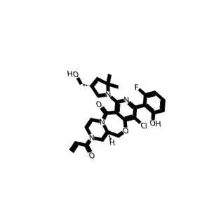 C=CC(=O)N1CCN2C(=O)c3c(N4C[C@H](CO)CC4(C)C)nc(-c4c(O)cccc4F)c(Cl)c3OC[C@H]2C1